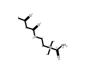 CC(=O)CC(=O)OCC[N+](C)(C)C(N)=O